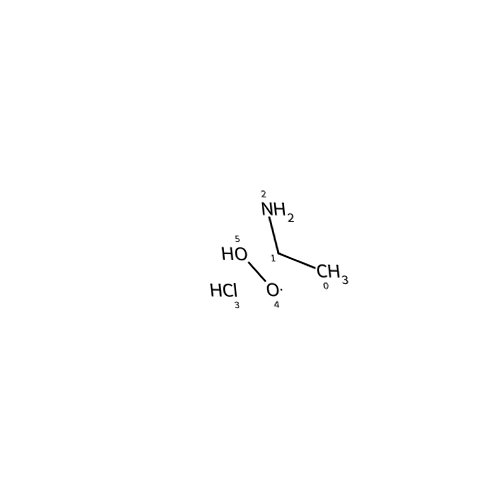 CCN.Cl.[O]O